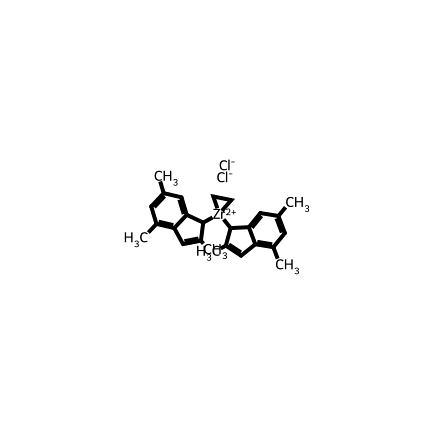 CC1=Cc2c(C)cc(C)cc2[CH]1[Zr+2]1([CH]2C(C)=Cc3c(C)cc(C)cc32)[CH2][CH2]1.[Cl-].[Cl-]